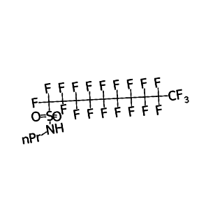 CCCNS(=O)(=O)C(F)(F)C(F)(F)C(F)(F)C(F)(F)C(F)(F)C(F)(F)C(F)(F)C(F)(F)C(F)(F)C(F)(F)F